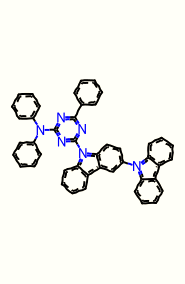 c1ccc(-c2nc(N(c3ccccc3)c3ccccc3)nc(-n3c4ccccc4c4cc(-n5c6ccccc6c6ccccc65)ccc43)n2)cc1